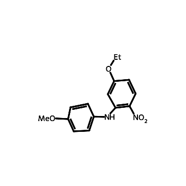 CCOc1ccc([N+](=O)[O-])c(Nc2ccc(OC)cc2)c1